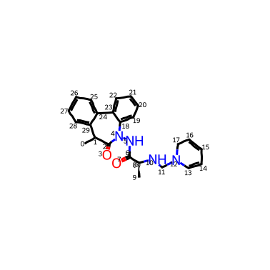 CC1C(=O)N(NC(=O)[C@H](C)NCN2C=CC=CC2)c2ccccc2-c2ccccc21